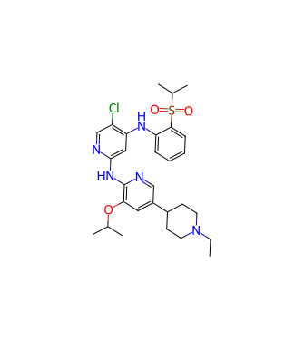 CCN1CCC(c2cnc(Nc3cc(Nc4ccccc4S(=O)(=O)C(C)C)c(Cl)cn3)c(OC(C)C)c2)CC1